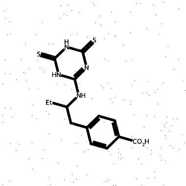 CCC(Cc1ccc(C(=O)O)cc1)Nc1nc(=S)[nH]c(=S)[nH]1